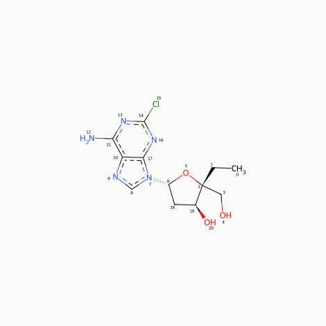 CC[C@]1(CO)O[C@@H](n2cnc3c(N)nc(Cl)nc32)C[C@@H]1O